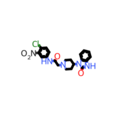 O=C(CN1CCC(n2c(=O)[nH]c3ccccc32)CC1)Nc1ccc(Cl)c([N+](=O)[O-])c1